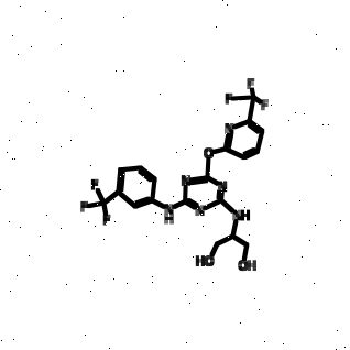 OCC(CO)Nc1nc(Nc2cccc(C(F)(F)F)c2)nc(Oc2cccc(C(F)(F)F)n2)n1